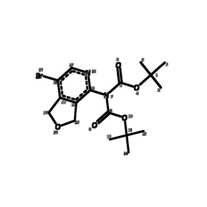 CC(C)(C)OC(=O)N(C(=O)OC(C)(C)C)c1ncc(Br)c2c1COC2